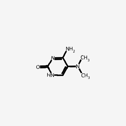 CN(C)c1c[nH]c(=O)nc1N